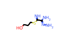 N=C(SCCCO)C(N)=NN